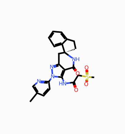 Cc1ccc(-n2nc3c(c2NC(=O)CS(C)(=O)=O)C(=O)N[C@@]2(CCc4ccccc42)C3)nc1